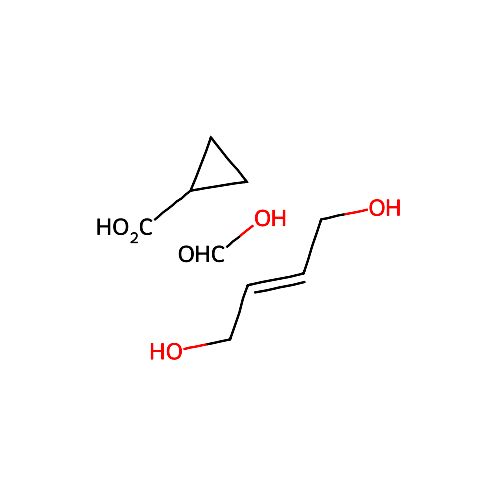 O=C(O)C1CC1.O=CO.OCC=CCO